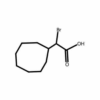 O=C(O)C(Br)C1CCCCCCC1